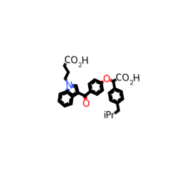 CC(C)Cc1ccc(C(Oc2ccc(C(=O)c3cn(CCCC(=O)O)c4ccccc34)cc2)C(=O)O)cc1